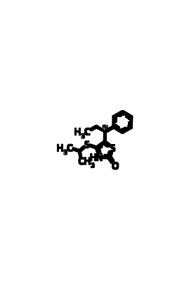 CC[C@@H](c1ccccc1)c1sc(=O)[nH]c1SC(C)C